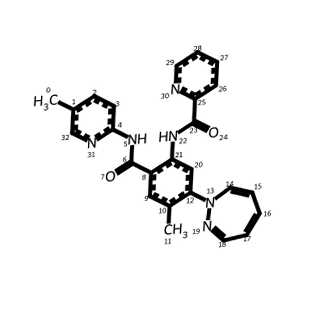 Cc1ccc(NC(=O)c2cc(C)c(N3C=CC=CC=N3)cc2NC(=O)c2ccccn2)nc1